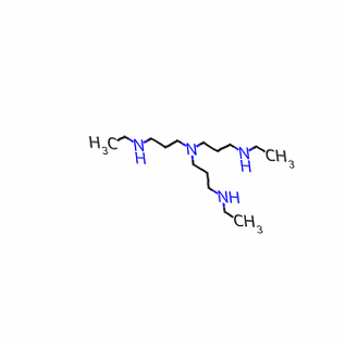 CCNCCCN(CCCNCC)CCCNCC